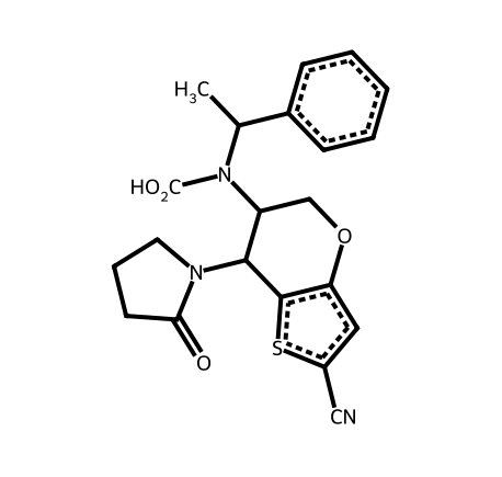 CC(c1ccccc1)N(C(=O)O)C1COc2cc(C#N)sc2C1N1CCCC1=O